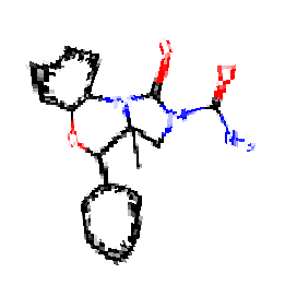 CC12CN(C(N)=O)C(=O)N1c1ccccc1OC2c1ccccc1